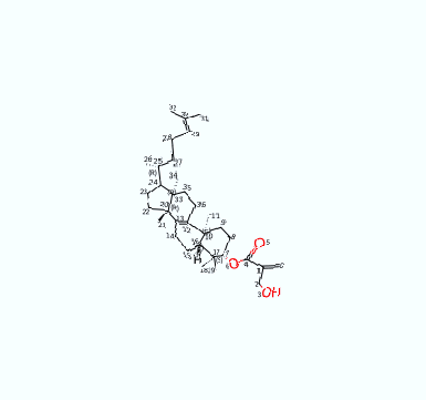 C=C(CO)C(=O)O[C@H]1CC[C@]2(C)C3=C(CC[C@H]2C1(C)C)[C@]1(C)CCC([C@H](C)CCC=C(C)C)[C@@]1(C)CC3